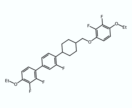 CCOc1ccc(OCC2CCC(c3ccc(-c4ccc(OCC)c(F)c4F)cc3F)CC2)c(F)c1F